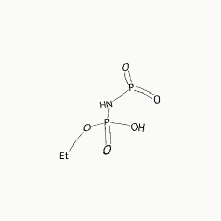 CCOP(=O)(O)NP(=O)=O